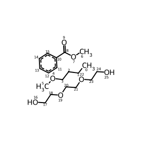 CCCCOC.COC(=O)c1ccccc1.OCCOCCOCCO